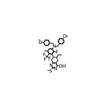 CCC1Cc2c(O)nc(SC)nc2CC1c1c(F)c(N(Cc2ccc(OC)cc2)Cc2ccc(OC)cc2)cc(C)c1C(F)(F)F